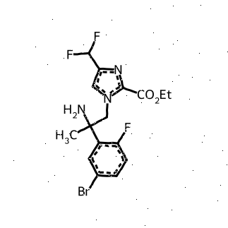 CCOC(=O)c1nc(C(F)F)cn1CC(C)(N)c1cc(Br)ccc1F